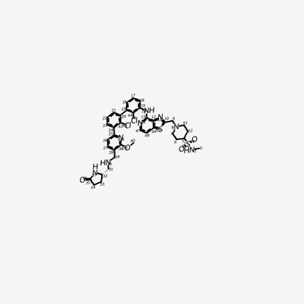 CNS(=O)(=O)C1CCN(Cc2nc3c(Nc4cccc(-c5cccc(-c6ccc(CNC[C@@H]7CCC(=O)N7)c(OC)n6)c5Cl)c4Cl)nccc3s2)CC1